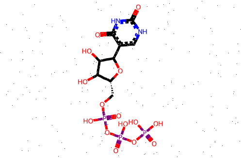 O=c1[nH]cc(C2O[C@H](COP(=O)(O)OP(=O)(O)OP(=O)(O)O)C(O)C2O)c(=O)[nH]1